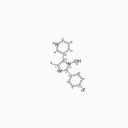 Cc1nc(-c2ccc(F)cc2)n(O)c1-c1cccnc1